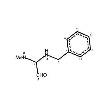 CNC(C=O)NCc1ccccc1